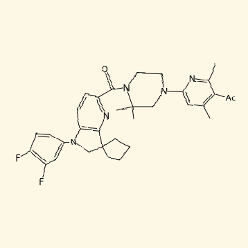 CC(=O)c1c(C)cc(N2CCN(C(=O)c3ccc4c(n3)C3(CCCC3)CN4c3ccc(F)c(F)c3)C(C)(C)C2)nc1C